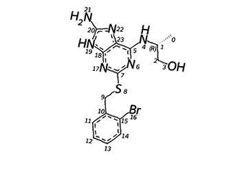 C[C@H](CO)Nc1nc(SCc2ccccc2Br)nc2[nH]c(N)nc12